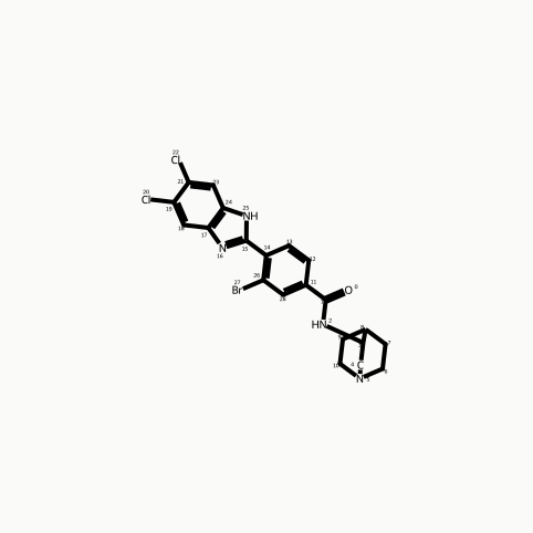 O=C(NC1CN2CCC1CC2)c1ccc(-c2nc3cc(Cl)c(Cl)cc3[nH]2)c(Br)c1